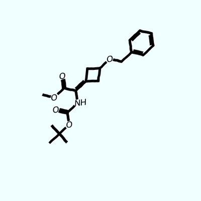 COC(=O)C(NC(=O)OC(C)(C)C)=C1CC(OCc2ccccc2)C1